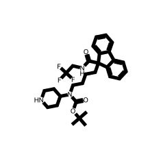 CC(C)(C)OC(=O)N(CCCCC1(C(=O)NCC(F)(F)F)c2ccccc2-c2ccccc21)C1CCNCC1